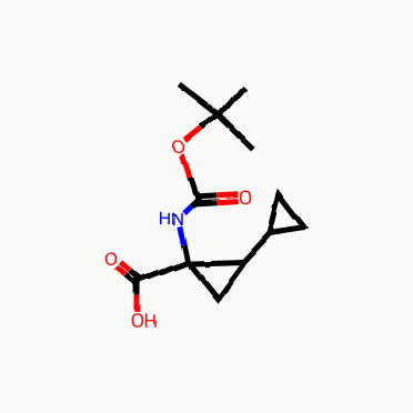 CC(C)(C)OC(=O)NC1(C(=O)O)CC1C1CC1